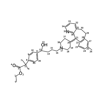 CCOC(=O)C(C)(C)c1ccc(C(O)CCCN2CCC(=C3c4ccc(C)cc4CCc4cccnc43)CC2)cc1